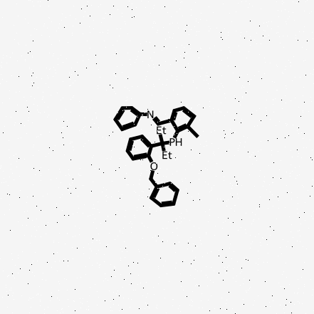 CCC(CC)(Pc1c(C)cccc1/C=N/c1ccccc1)c1ccccc1OCc1ccccc1